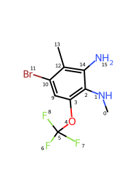 CNc1c(OC(F)(F)F)cc(Br)c(C)c1N